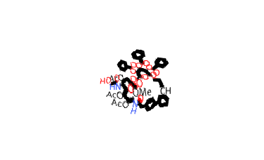 C#CCCO[C@@H]1O[C@H](COC2(C(=O)OC)C[C@H](OC(C)=O)[C@@H](NC(=O)CO)[C@H]([C@H](OC(C)=O)[C@@H](CNC(=O)Cc3ccc(-c4ccccc4)cc3)OC(C)=O)O2)[C@H](OC(=O)c2ccccc2)[C@H](OC(=O)c2ccccc2)[C@H]1OC(=O)c1ccccc1